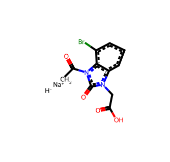 CC(=O)n1c(=O)n(CC(=O)O)c2cccc(Br)c21.[H-].[Na+]